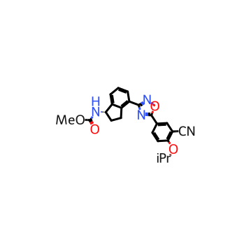 COC(=O)N[C@H]1CCc2c(-c3noc(-c4ccc(OC(C)C)c(C#N)c4)n3)cccc21